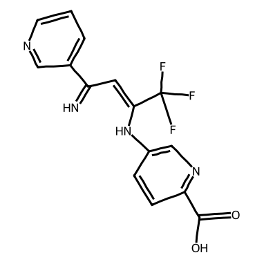 N=C(/C=C(\Nc1ccc(C(=O)O)nc1)C(F)(F)F)c1cccnc1